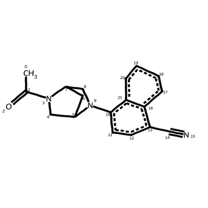 CC(=O)N1CC2CC1CN2c1ccc(C#N)c2ccccc12